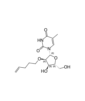 C=CCCCO[C@@H]1[C@H](O)[C@@H](CO)O[C@H]1n1cc(C)c(=O)[nH]c1=O